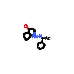 CC(=O)C(=NNn1ccc(=O)c2ccccc21)c1ccccc1